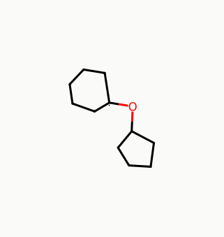 C1CC[C](OC2CCCC2)CC1